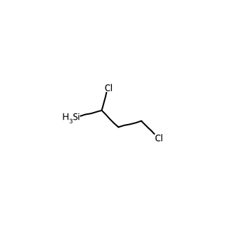 [SiH3]C(Cl)CCCl